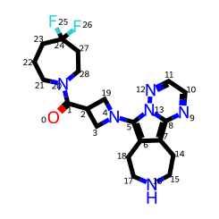 O=C(C1CN(c2c3c(c4nccnn24)CCNCC3)C1)N1CCCC(F)(F)CC1